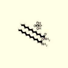 CCCCCCCCCCCC(N)=O.CCCCCCCCCCCC(N)=O.O=S(=O)(O)O